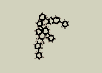 c1ccc(-c2ccc3nc(-c4ccccc4)c(-n4c5ccccc5c5cc6c(cc54)c4ccccc4n6-c4nc5cc(-c6ccccc6)ccc5nc4-c4ccccc4)nc3c2)cc1